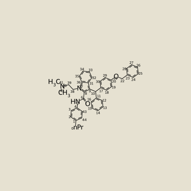 CCCc1ccc(NC(=O)c2c(C(c3ccccc3)c3ccc(OCc4ccccc4)cc3)c3ccccc3n2CCN(C)C)cc1